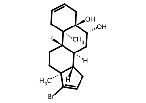 C[C@]12CC[C@H]3[C@@H](C[C@@H](O)[C@@]4(O)CC=CC[C@]34C)[C@@H]1CC=C2Br